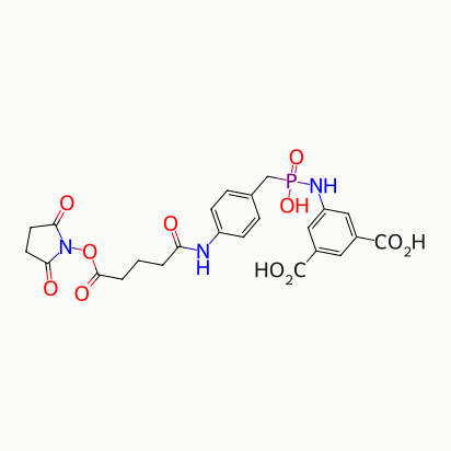 O=C(CCCC(=O)ON1C(=O)CCC1=O)Nc1ccc(CP(=O)(O)Nc2cc(C(=O)O)cc(C(=O)O)c2)cc1